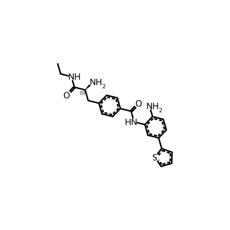 CCNC(=O)[C@@H](N)Cc1ccc(C(=O)Nc2cc(-c3cccs3)ccc2N)cc1